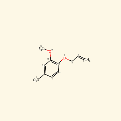 C=CCOc1ccc([N+](=O)[O-])cc1OC(F)(F)F